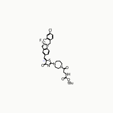 CC(C)(C)OC(=O)NCC(=O)N1CCCN(C2=NC(=O)/C(=C/c3ccc4c(cnn4Cc4ccc(Cl)cc4C(F)(F)F)c3)S2)CC1